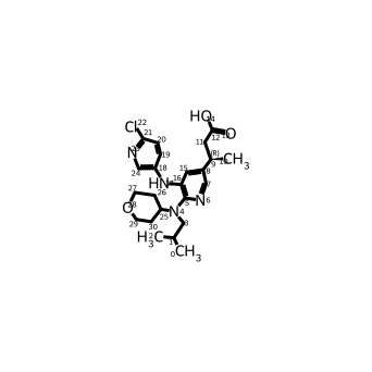 CC(C)CN(c1ncc([C@H](C)CC(=O)O)cc1Nc1ccc(Cl)nc1)C1CCOCC1